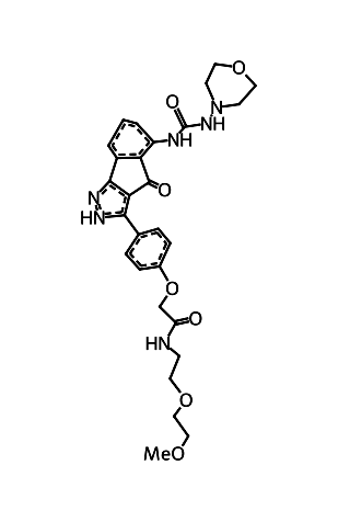 COCCOCCNC(=O)COc1ccc(-c2[nH]nc3c2C(=O)c2c(NC(=O)NN4CCOCC4)cccc2-3)cc1